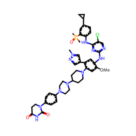 COc1cc(N2CCC(N3CCN(c4ccc(N5CCC(=O)NC5=O)cc4)CC3)CC2)c(-c2cnn(C)c2)cc1Nc1ncc(Cl)c(Nc2ccc(C3CC3)cc2P(C)(C)=O)n1